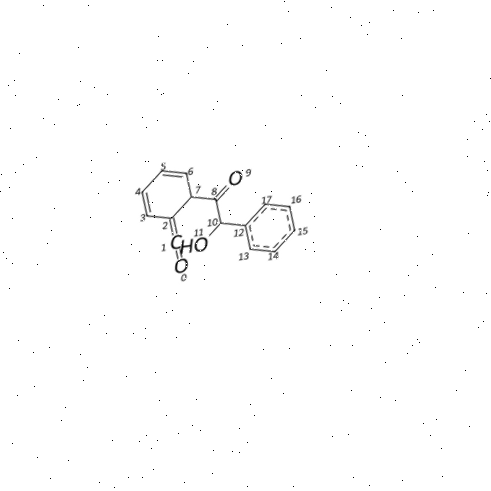 O=C=C1C=CC=CC1C(=O)C(O)c1ccccc1